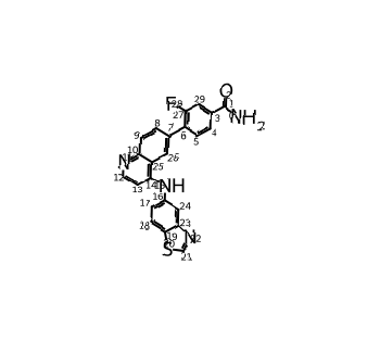 NC(=O)c1ccc(-c2ccc3nccc(Nc4ccc5scnc5c4)c3c2)c(F)c1